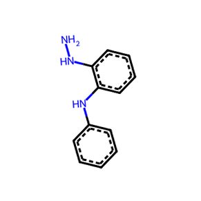 NNc1ccccc1Nc1ccccc1